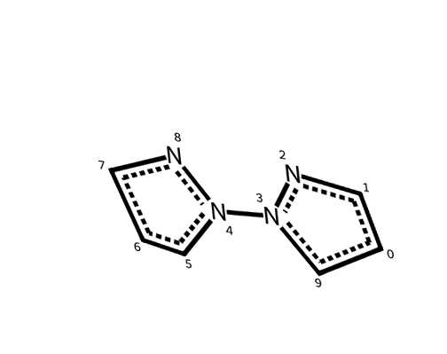 c1cnn(-n2cccn2)c1